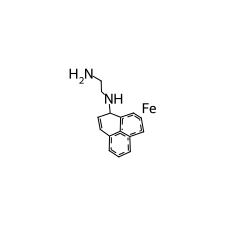 NCCNC1C=Cc2cccc3cccc1c23.[Fe]